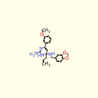 C=CCC1(NCc2ccc3c(c2)OCO3)C=C(c2cccc(OC)c2)N=C(N)N1